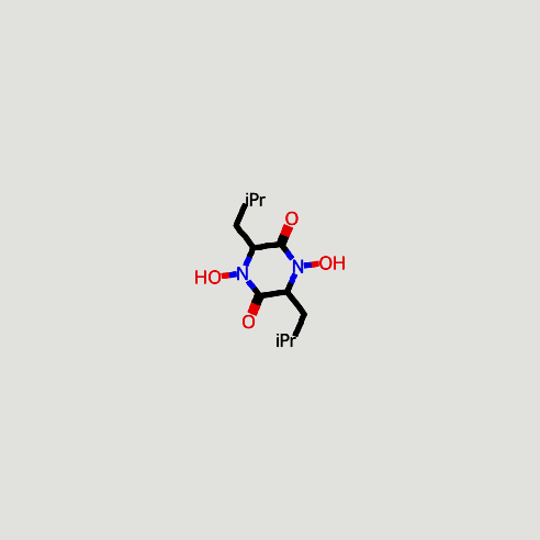 CC(C)CC1C(=O)N(O)C(CC(C)C)C(=O)N1O